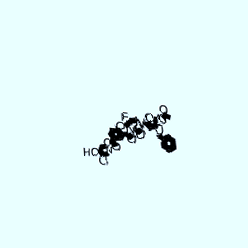 CC(=O)OC[C@H]1O[C@@H](n2cc(F)c(=O)n(C(=O)c3cccc(C(=O)Oc4cc(O)c(Cl)cn4)c3)c2=O)C[C@@H]1OCc1ccccc1